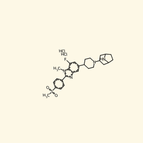 Cl.Cl.Cn1c(-c2ccc(S(C)(=O)=O)cc2)nc2cc(C3CCN(C4CC5CCC(C4)N5)CC3)cc(F)c21